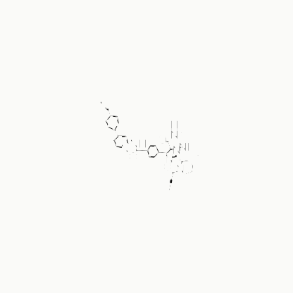 CC#CC(=O)N1CCCC[C@H]1c1nc(-c2ccc(C(=O)Nc3cc(-c4ccc(C#N)cc4)ccn3)cc2)c(C(N)=O)n1N